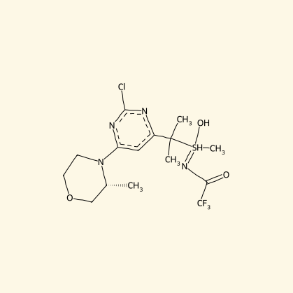 C[C@@H]1COCCN1c1cc(C(C)(C)[SH](C)(O)=NC(=O)C(F)(F)F)nc(Cl)n1